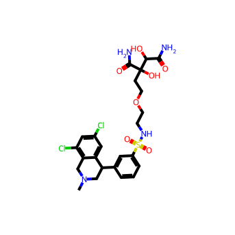 CN1Cc2c(Cl)cc(Cl)cc2C(c2cccc(S(=O)(=O)NCCOCCC(O)(C(N)=O)C(O)C(N)=O)c2)C1